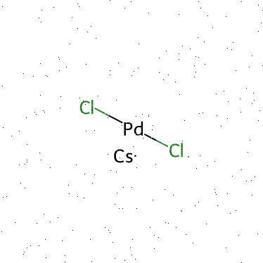 [Cl][Pd][Cl].[Cs]